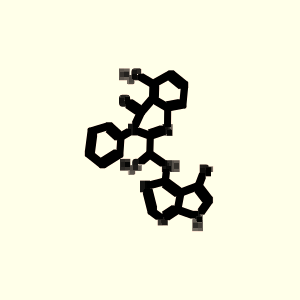 Cc1cccc2nc(C(C)Nc3ncnc4[nH]cc(Br)c34)n(-c3ccccc3)c(=O)c12